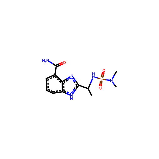 CC(NS(=O)(=O)N(C)C)c1nc2c(C(N)=O)cccc2[nH]1